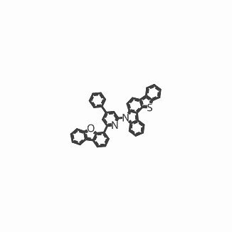 c1ccc(-c2cc(-c3cccc4c3oc3ccccc34)nc(-n3c4ccccc4c4c5sc6ccccc6c5ccc43)c2)cc1